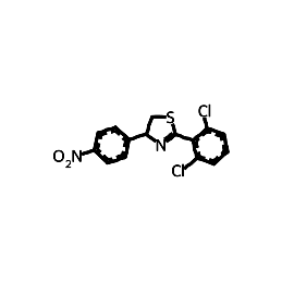 O=[N+]([O-])c1ccc(C2CSC(c3c(Cl)cccc3Cl)=N2)cc1